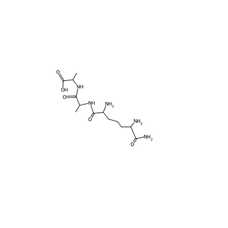 CC(NC(=O)C(C)NC(=O)C(N)CCCC(N)C(N)=O)C(=O)O